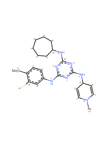 COc1ccc(Nc2nc(NC3C=CN(C(C)=O)C=C3)nc(NC3CCCCCC3)n2)cc1F